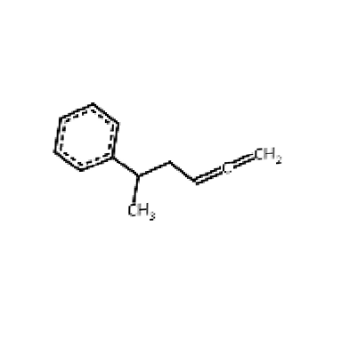 C=C=CCC(C)c1ccccc1